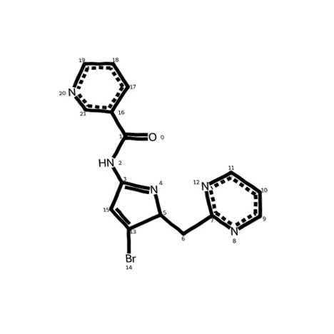 O=C(NC1=NC(Cc2ncccn2)C(Br)=C1)c1cccnc1